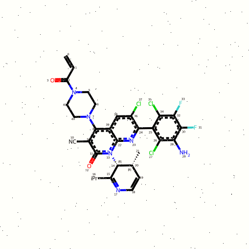 C=CC(=O)N1CCN(c2c(C#N)c(=O)n([C@H]3C(C(C)C)=NC=C[C@H]3C)c3nc(-c4c(Cl)c(N)c(F)c(F)c4Cl)c(Cl)cc23)CC1